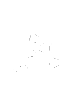 O=C(O)CNCC1OC(c2ccccc2Cl)c2cc(Cl)ccc2N(Cc2ccccc2)C1=O